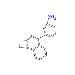 Nc1cccc(-c2cc3c(c4ccccc24)CC3)c1